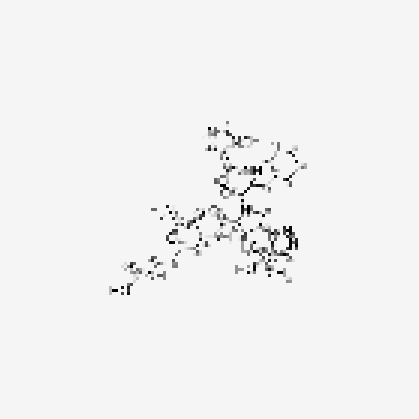 Cn1cncc1C(=O)NC(CC1CCCCC1)C(=O)N1C[C@@H](n2nncc2C(C)(C)O)C[C@H]1C(=O)NC(CCCCNC(=O)O)C(=O)C(N)=O